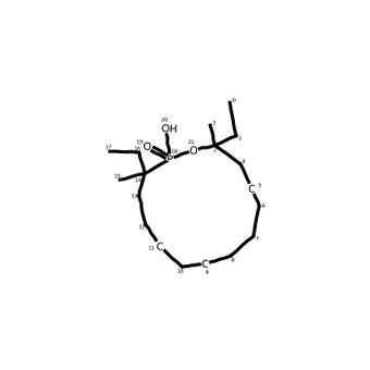 CCC1(C)CCCCCCCCCCC(C)(CC)P(=O)(O)O1